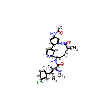 CCC(=O)Nc1ccc2c(c1)NC(=O)C(C)CCCC(NC(=O)C(=N/C)/C(C)=C(\C)c1cccc(Cl)c1F)c1cc-2ccn1